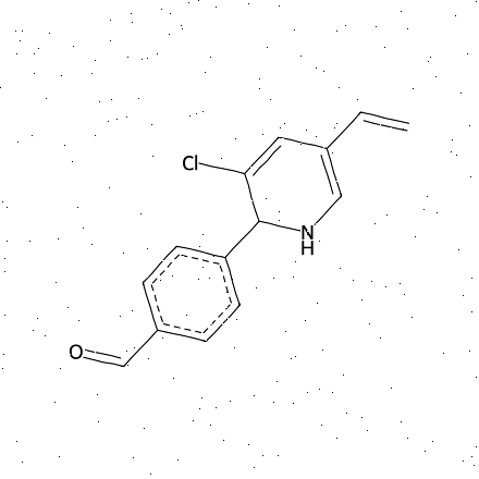 C=CC1=CNC(c2ccc(C=O)cc2)C(Cl)=C1